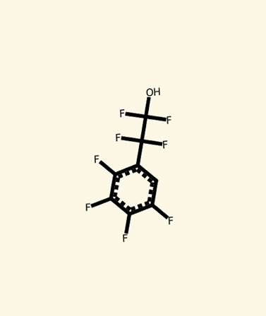 OC(F)(F)C(F)(F)c1cc(F)c(F)c(F)c1F